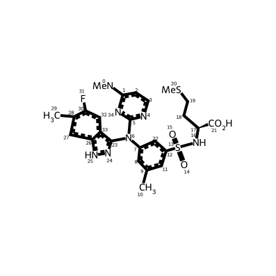 CNc1ccnc(N(c2cc(C)cc(S(=O)(=O)N[C@@H](CCSC)C(=O)O)c2)c2n[nH]c3cc(C)c(F)cc23)n1